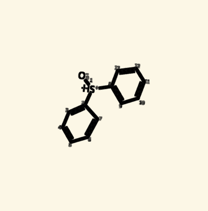 [O-][SH+](c1ccccc1)c1ccccc1